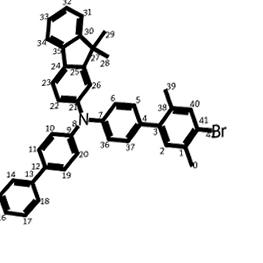 Cc1cc(-c2ccc(N(c3ccc(-c4ccccc4)cc3)c3ccc4c(c3)C(C)(C)c3ccccc3-4)cc2)c(C)cc1Br